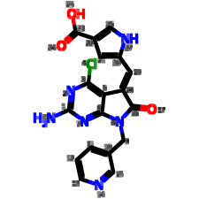 Nc1nc(Cl)c2c(n1)N(Cc1cccnc1)C(=O)/C2=C/c1cc(C(=O)O)c[nH]1